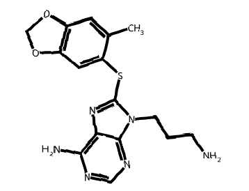 Cc1cc2c(cc1Sc1nc3c(N)ncnc3n1CCCN)OCO2